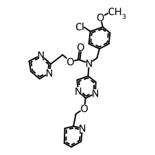 COc1ccc(CN(C(=O)OCc2ncccn2)c2cnc(OCc3ccccn3)nc2)cc1Cl